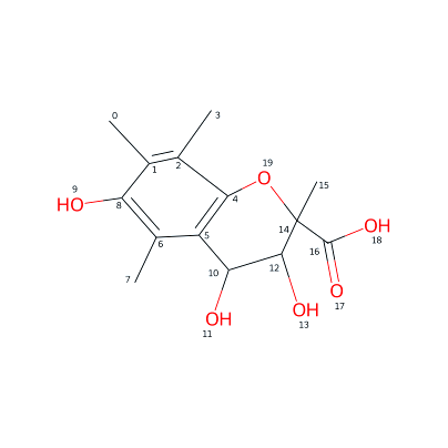 Cc1c(C)c2c(c(C)c1O)C(O)C(O)C(C)(C(=O)O)O2